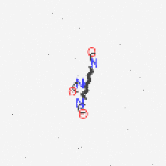 O=C=NCCCCC(CCCN=C=O)N=C=O